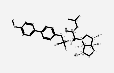 CSc1ccc(-c2ccc([C@H](N[C@@H](CC(C)C)C(=O)N3C[C@H](F)[C@H]4OC[C@H](O)[C@H]43)C(F)(F)F)cc2)cc1